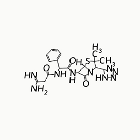 CC1(C)S[C@H]2C(NC(=O)C(NC(=O)CC(=N)N)c3ccccc3)C(=O)N2C1c1nnn[nH]1